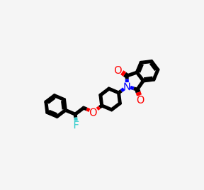 O=C1c2ccccc2C(=O)N1C1CCC(OCC(F)c2ccccc2)CC1